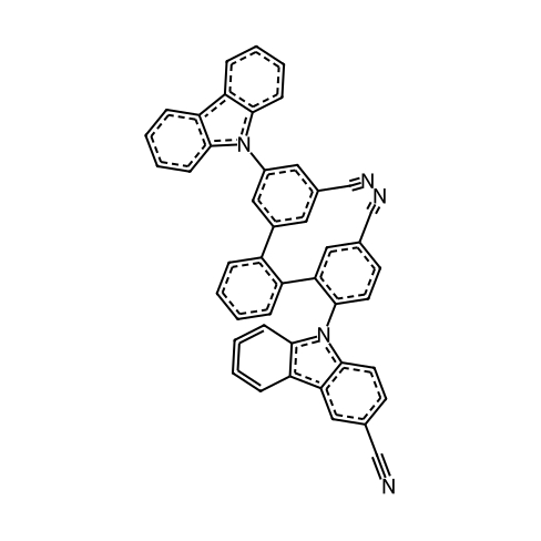 N#Cc1cc(-c2ccccc2-c2cc(C#N)ccc2-n2c3c(c4cc(C#N)ccc42)C=C=C=C3)cc(-n2c3ccccc3c3ccccc32)c1